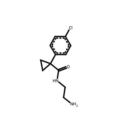 NCCNC(=O)C1(c2ccc(Cl)cc2)CC1